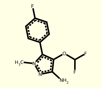 Cn1nc(N)c(OC(F)F)c1-c1ccc(F)cc1